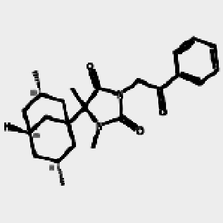 C[C@@H]1C[C@@H]2C[C@H](C)CC(C3(C)C(=O)N(CC(=O)c4ccccc4)C(=O)N3C)(C1)C2